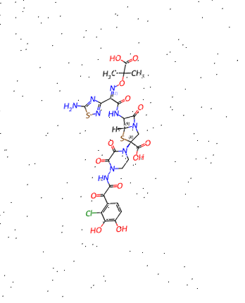 CC(C)(O/N=C(\C(=O)NC1C(=O)N2C[C@@](C(=O)O)(N3CCN(NC(=O)C(=O)c4ccc(O)c(O)c4Cl)C(=O)C3=O)S[C@H]12)c1nsc(N)n1)C(=O)O